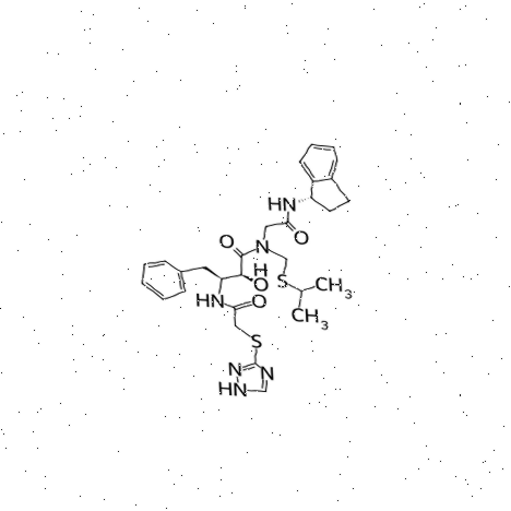 CC(C)SCN(CC(=O)N[C@H]1CCc2ccccc21)C(=O)[C@@H](O)[C@H](Cc1ccccc1)NC(=O)CSc1nc[nH]n1